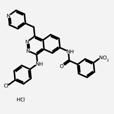 Cl.O=C(Nc1ccc2c(Cc3ccncc3)nnc(Nc3ccc(Cl)cc3)c2c1)c1cccc([N+](=O)[O-])c1